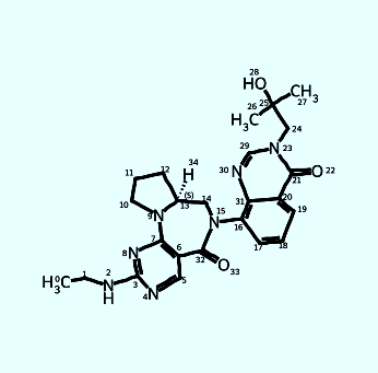 CCNc1ncc2c(n1)N1CCC[C@H]1CN(c1cccc3c(=O)n(CC(C)(C)O)cnc13)C2=O